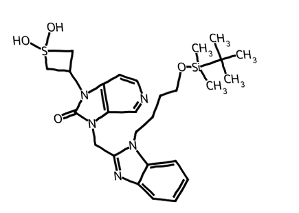 CC(C)(C)[Si](C)(C)OCCCCn1c(Cn2c(=O)n(C3CS(O)(O)C3)c3ccncc32)nc2ccccc21